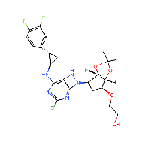 CC1(C)O[C@@H]2[C@H](O1)[C@@H](OCCO)C[C@H]2n1[nH]c2c(N[C@@H]3C[C@H]3c3ccc(F)c(F)c3)nc(Cl)nc21